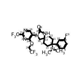 CN(C)[C@]1(c2cccc(F)c2)CC[C@]2(CC1)CN(c1cnc(C(F)(F)F)nc1OCC(F)(F)F)C(=O)N2